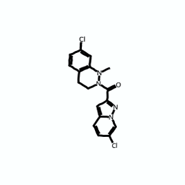 CN1c2cc(Cl)ccc2CCN1C(=O)c1cc2ccc(Cl)cn2n1